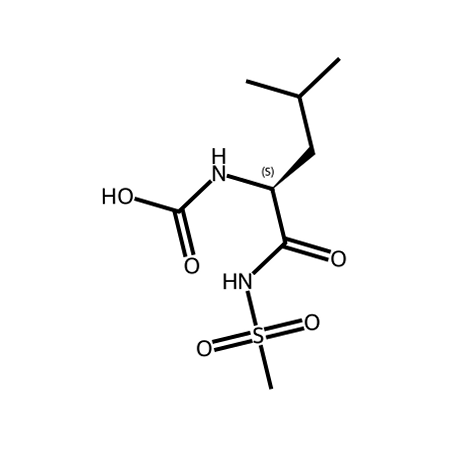 CC(C)C[C@H](NC(=O)O)C(=O)NS(C)(=O)=O